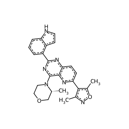 Cc1noc(C)c1-c1ccc2nc(-c3cccc4[nH]ccc34)nc(N3CCOC[C@H]3C)c2n1